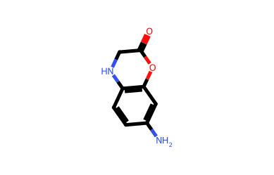 Nc1ccc2c(c1)OC(=O)CN2